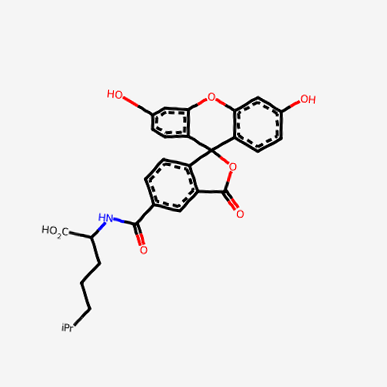 CC(C)CCCC(NC(=O)c1ccc2c(c1)C(=O)OC21c2ccc(O)cc2Oc2cc(O)ccc21)C(=O)O